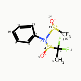 CC(F)(F)[S+]([O-])N(c1ccccc1)[S+]([O-])C(F)(F)F